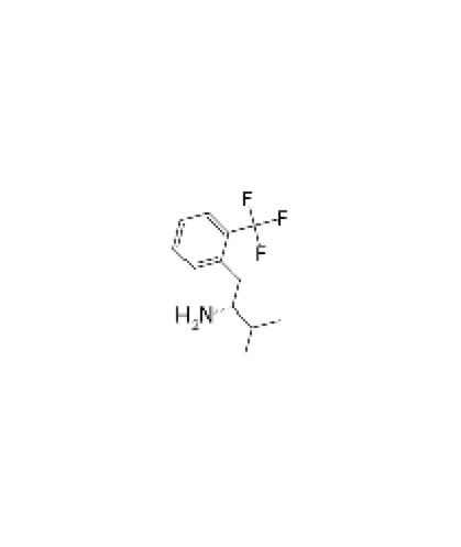 CC(C)[C@H](N)Cc1ccccc1C(F)(F)F